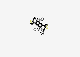 C#Cc1sccc1-c1cc2cc(OC)c(-c3ccsc3C#C[Si](C)(C)C)cc2cc1OC